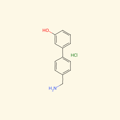 Cl.NCc1ccc(-c2cccc(O)c2)cc1